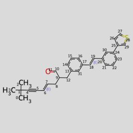 CC(C)(C)C#C/C=C/CC(C=O)Cc1cccc(/C=C/c2cccc(-c3ccsc3)c2)c1